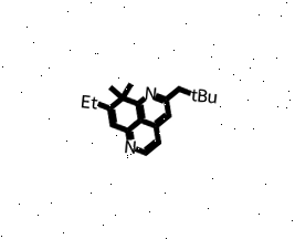 CCC1=Cc2nccc3cc(CC(C)(C)C)nc(c23)C1(C)C